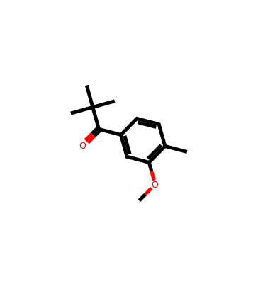 COc1cc(C(=O)C(C)(C)C)ccc1C